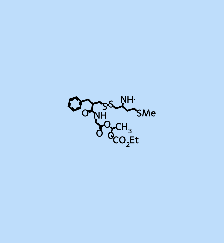 CCOC(=O)OC(C)OC(=O)CNC(=O)C(CSSCC([NH])CCSC)Cc1ccccc1